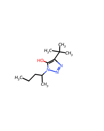 CCCC(C)n1nnc(C(C)(C)C)c1O